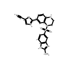 Cc1nc2cc(S(=O)(=O)N3CCOc4ccc(-c5ncc(C#N)s5)cc43)ccc2o1